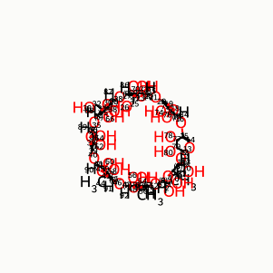 CC(O)[C@@H]1OC(CO)[C@H](CO)O[C@H]2OC=C(O[C@H]3OC=C(O[C@H]4OC(CO)[C@H](O[C@H]5OC(CO)[C@@H](O[C@@H]6OC=C(O[C@H]7OC(C)[C@@H](O[C@H]8OC(C)[C@@H](O1)C(O)C8O)C(O)C7O)C(O)C6O)C(O)C5O)C(O)C4O)C(O)C3O)C(O)C2O